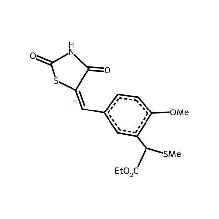 CCOC(=O)C(SC)c1cc(/C=C2/SC(=O)NC2=O)ccc1OC